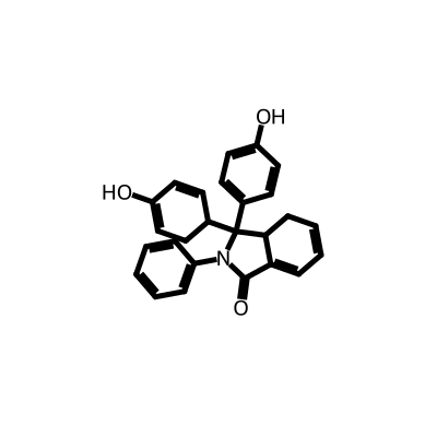 O=C1C2=CC=CCC2C(c2ccc(O)cc2)(C2C=CC(O)=CC2)N1c1ccccc1